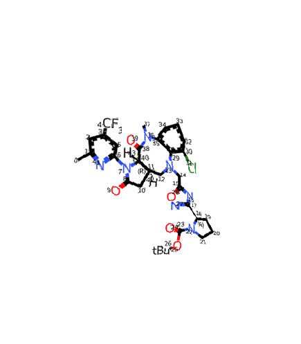 Cc1cc(C(F)(F)F)cc(N2C(=O)C[C@@H]3CN(Cc4nc([C@H]5CCCN5C(=O)OC(C)(C)C)no4)c4c(Cl)cccc4N(C)C(=O)[C@H]32)n1